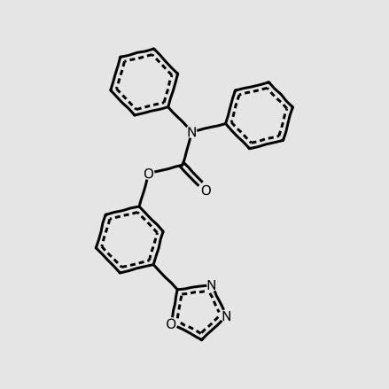 O=C(Oc1cccc(-c2nnco2)c1)N(c1ccccc1)c1ccccc1